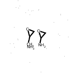 CC1CO1.N.NC1CO1